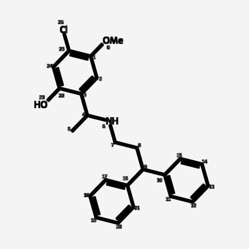 COc1cc(C(C)NCCC(c2ccccc2)c2ccccc2)c(O)cc1Cl